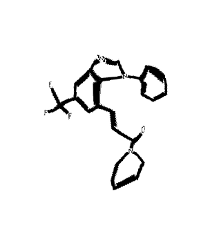 O=C(C=Cc1cc(C(F)(F)F)cc2ncn(-c3ccccc3)c12)N1CC=CC1